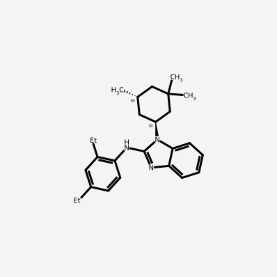 CCc1ccc(Nc2nc3ccccc3n2[C@H]2C[C@H](C)CC(C)(C)C2)c(CC)c1